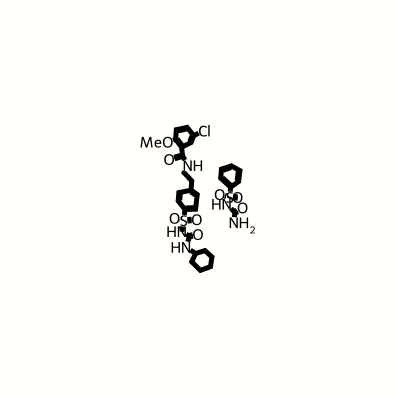 COc1ccc(Cl)cc1C(=O)NCCc1ccc(S(=O)(=O)NC(=O)NC2CCCCC2)cc1.NC(=O)NS(=O)(=O)c1ccccc1